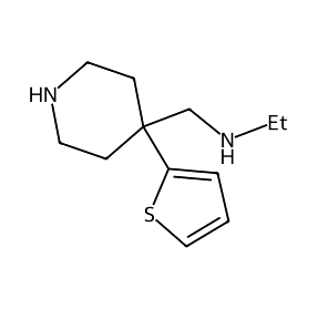 CCNCC1(c2cccs2)CCNCC1